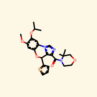 COc1cc2c(cc1OC(C)C)-n1cnc(C(=O)N3CCOCC3(C)C)c1C(c1cccs1)O2